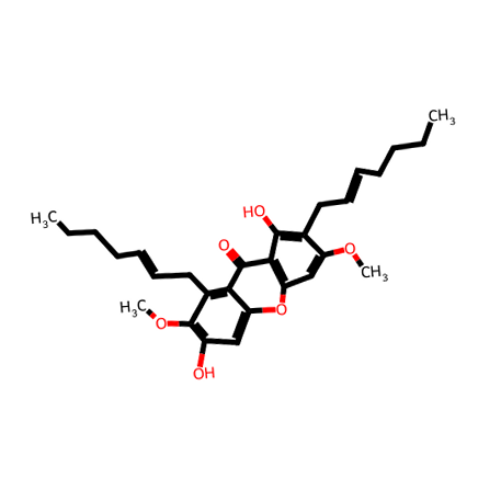 CCCCC=CCc1c(OC)cc2oc3cc(O)c(OC)c(C/C=C/CCCC)c3c(=O)c2c1O